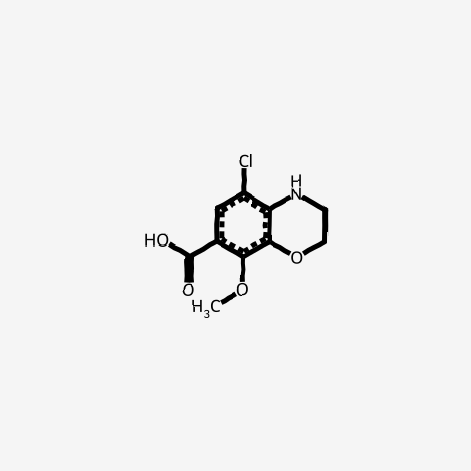 COc1c(C(=O)O)cc(Cl)c2c1OCCN2